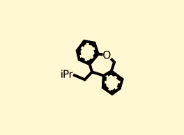 CC(C)CC1c2ccccc2COc2ccccc21